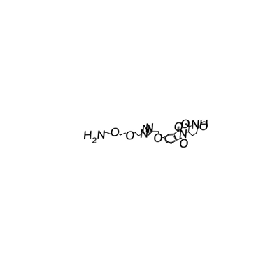 NCCOCCOCCn1cc(COc2ccc3c(c2)C(=O)N(C2CCC(=O)NC2=O)C3=O)nn1